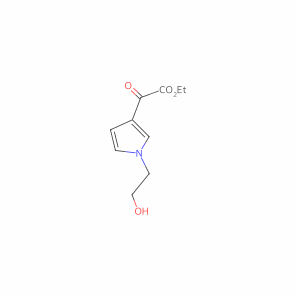 CCOC(=O)C(=O)c1ccn(CCO)c1